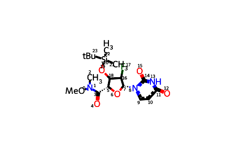 CON(C)C(=O)[C@H]1O[C@@H](n2ccc(=O)[nH]c2=O)C(F)C1O[Si](C)(C)C(C)(C)C